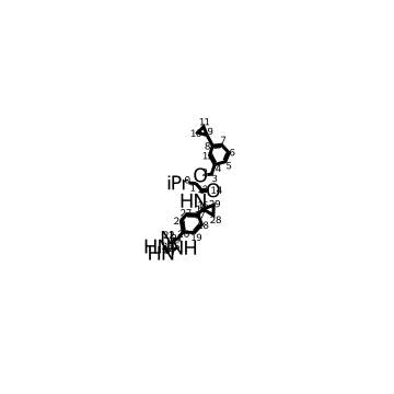 CC(C)C(OCc1cccc(C2CC2)c1)C(=O)NC1(c2ccc(C3=NNNN3)cc2)CC1